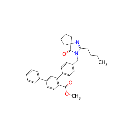 CCCCC1=NC2(CCCC2)C(=O)N1Cc1ccc(-c2cc(-c3ccccc3)ccc2C(=O)OC)cc1